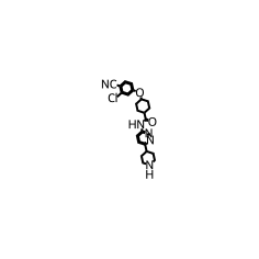 N#Cc1ccc(OC2CCC(C(=O)Nc3ccc(C4CCNCC4)nn3)CC2)cc1Cl